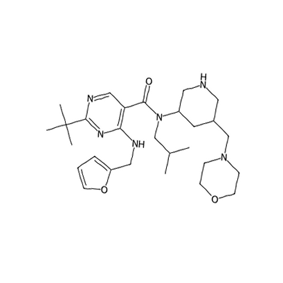 CC(C)CN(C(=O)c1cnc(C(C)(C)C)nc1NCc1ccco1)C1CNCC(CN2CCOCC2)C1